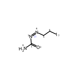 NC(=O)/N=N\CCI